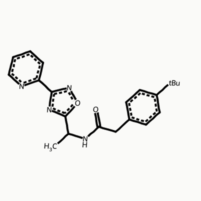 CC(NC(=O)Cc1ccc(C(C)(C)C)cc1)c1nc(-c2ccccn2)no1